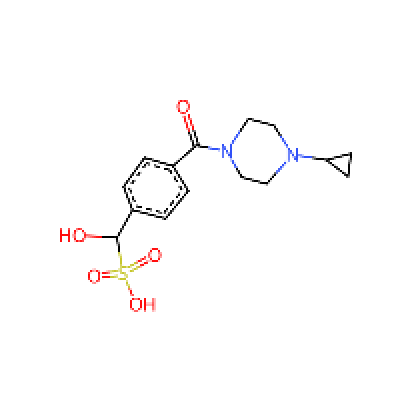 O=C(c1ccc(C(O)S(=O)(=O)O)cc1)N1CCN(C2CC2)CC1